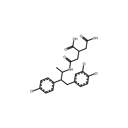 CC(NC(=O)CC(CC(=O)O)C(=O)O)C(Cc1ccc(Cl)c(Cl)c1)c1ccc(Cl)cc1